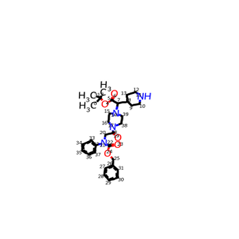 CC(C)(C)OC(=O)C(C1CCNCC1)N1CCN(C(=O)CN(C(=O)OCc2ccccc2)c2ccccc2)CC1